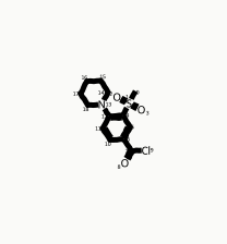 CS(=O)(=O)c1cc(C(=O)Cl)ccc1N1CCCCC1